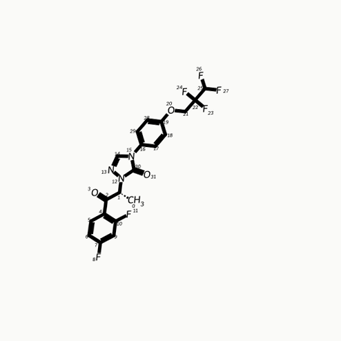 C[C@H](C(=O)c1ccc(F)cc1F)n1ncn(-c2ccc(OCC(F)(F)C(F)F)cc2)c1=O